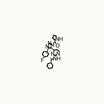 C[C@H](Nc1nccc(-c2c(-c3ccc(F)cc3)nnn2C(=O)c2ccc[nH]2)n1)c1ccccc1